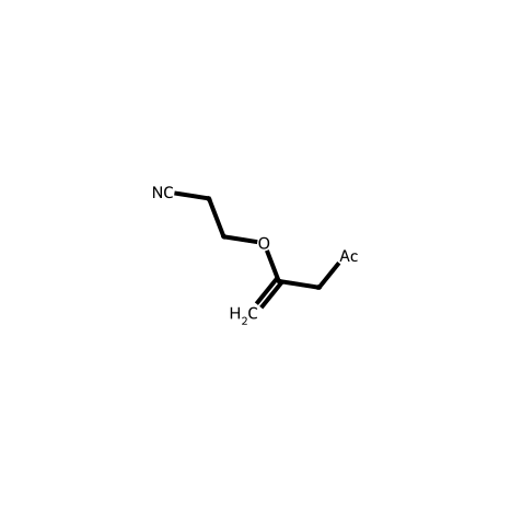 C=C(CC(C)=O)OCCC#N